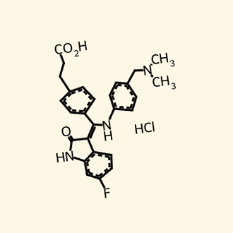 CN(C)Cc1ccc(NC(=C2C(=O)Nc3cc(F)ccc32)c2ccc(CCC(=O)O)cc2)cc1.Cl